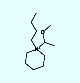 CCCC[N+]1(C(C)OC)CCCCC1